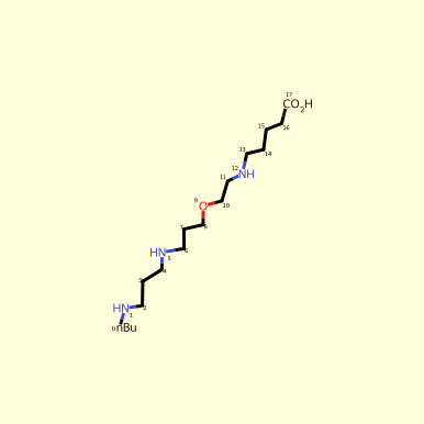 CCCCNCCCNCCCOCCNCCCCC(=O)O